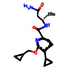 CC(C)(C)[C@@H](CC(N)=O)NC(=O)c1ccc(C2CC2)c(OCC2CC2)n1